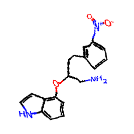 NCC(Cc1cccc([N+](=O)[O-])c1)Oc1cccc2[nH]ccc12